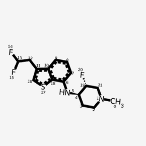 CN1CC[C@@H](Nc2cccc3c(CC(F)F)csc23)[C@H](F)C1